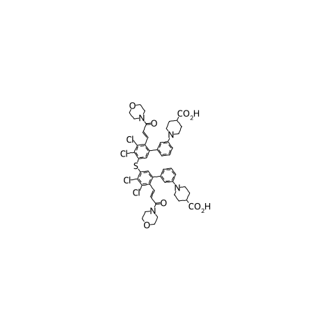 O=C(O)C1CCN(c2cccc(-c3cc(Sc4cc(-c5cccc(N6CCC(C(=O)O)CC6)c5)c(/C=C/C(=O)N5CCOCC5)c(Cl)c4Cl)c(Cl)c(Cl)c3/C=C/C(=O)N3CCOCC3)c2)CC1